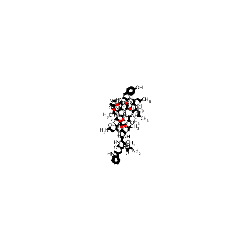 CC(C)C[C@H](NC(=O)[C@H](CC(C)C)NC(=O)[C@H](Cc1ccc(O)cc1)NC(=O)CNC(=O)[C@H](C)NC(=O)[C@H](CO)NC(=O)[C@H](CC(N)=O)NC(=O)[C@H](CC(C)C)NC(=O)[C@@H](NC(=O)[C@H](Cc1c[nH]c2ccccc12)NC(=O)CN)[C@@H](C)O)C(=O)NCC(=O)N1CCC[C@H]1C(=O)N[C@@H](Cc1cnc[nH]1)C(=O)N[C@@H](C)C(=O)O